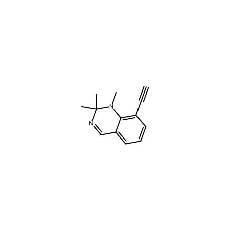 C#Cc1cccc2c1N(C)C(C)(C)N=C2